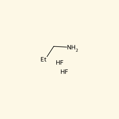 CCCN.F.F